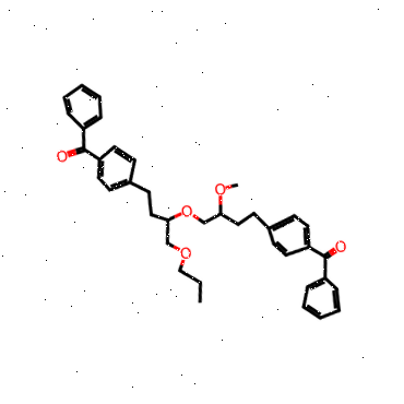 CCCOCC(CCc1ccc(C(=O)c2ccccc2)cc1)OCC(CCc1ccc(C(=O)c2ccccc2)cc1)OC